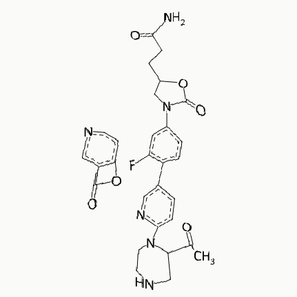 CC(=O)C1CNCCN1c1ccc(-c2ccc(N3CC(CCC(N)=O)OC3=O)cc2F)cn1.O=C1Oc2ccncc21